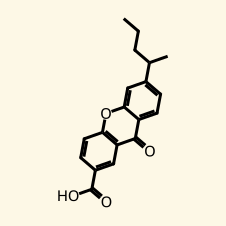 CCCC(C)c1ccc2c(=O)c3cc(C(=O)O)ccc3oc2c1